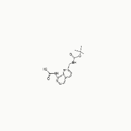 CC(C)(C)OC(=O)NCc1ccc2ccnc(NC(=O)O)c2c1